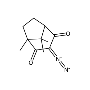 CC12CCC(C(=O)C(=[N+]=[N-])C1=O)C2(C)C